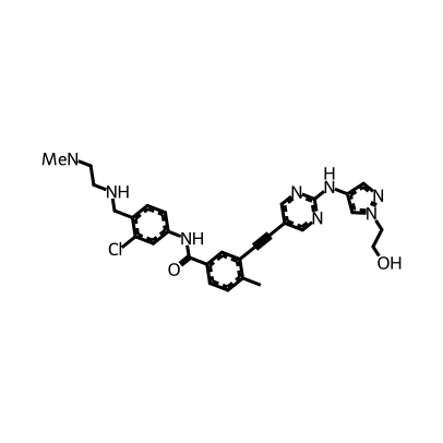 CNCCNCc1ccc(NC(=O)c2ccc(C)c(C#Cc3cnc(Nc4cnn(CCO)c4)nc3)c2)cc1Cl